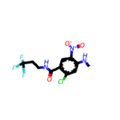 CNc1cc(Cl)c(C(=O)NCCC(F)(F)F)cc1[N+](=O)[O-]